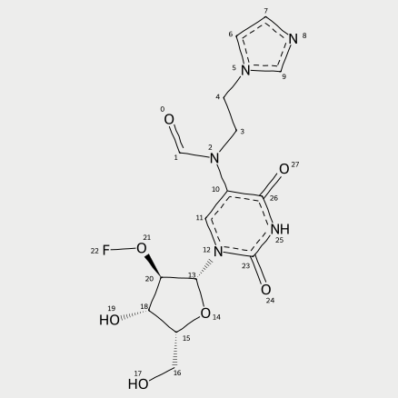 O=CN(CCn1ccnc1)c1cn([C@@H]2O[C@H](CO)[C@H](O)[C@H]2OF)c(=O)[nH]c1=O